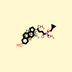 CC(CCC(=O)N(C)OCC1CC1)[C@H]1CC[C@H]2[C@@H]3CC=C4C[C@@H](O)CC[C@]4(C)[C@H]3CC[C@]12C